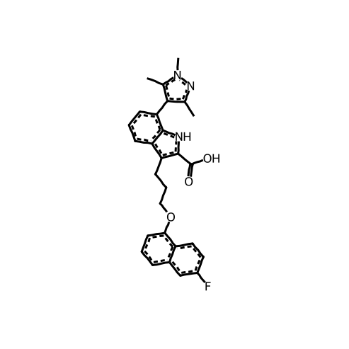 Cc1nn(C)c(C)c1-c1cccc2c(CCCOc3cccc4cc(F)ccc34)c(C(=O)O)[nH]c12